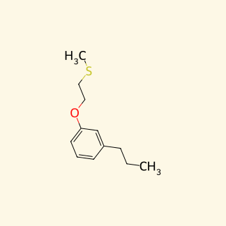 CCCc1cccc(OCCSC)c1